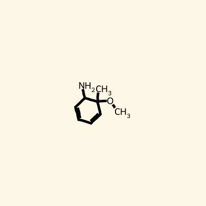 COC1(C)C=CC=CC1N